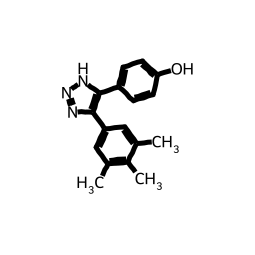 Cc1cc(-c2nn[nH]c2-c2ccc(O)cc2)cc(C)c1C